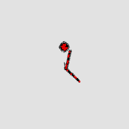 CCCCCCCCCCCCCCCCCCCCCC[NH+](C)CCCCCCCCCCCCCCCCCCCCCC.Fc1c(F)c(F)c([B-](c2c(F)c(F)c(F)c(F)c2F)(c2c(F)c(F)c(F)c(F)c2F)c2c(F)c(F)c(F)c(F)c2F)c(F)c1F